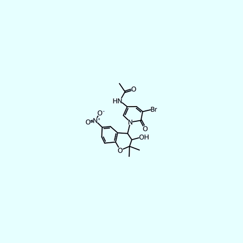 CC(=O)Nc1cc(Br)c(=O)n(C2c3cc([N+](=O)[O-])ccc3OC(C)(C)C2O)c1